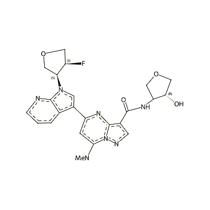 CNc1cc(-c2cn([C@H]3COC[C@H]3F)c3ncccc23)nc2c(C(=O)NC3COC[C@@H]3O)cnn12